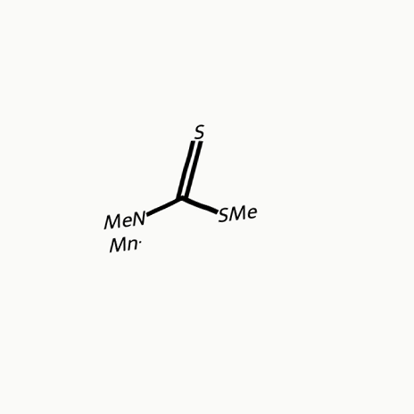 CNC(=S)SC.[Mn]